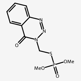 COP(=O)(OC)SCn1nnc2ccccc2c1=O